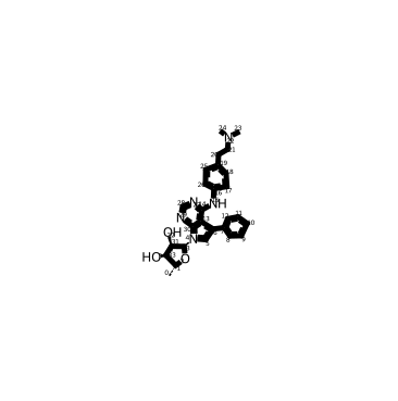 C[C@H]1O[C@@H](n2cc(-c3ccccc3)c3c(Nc4ccc(CCN(C)C)cc4)ncnc32)[C@H](O)[C@@H]1O